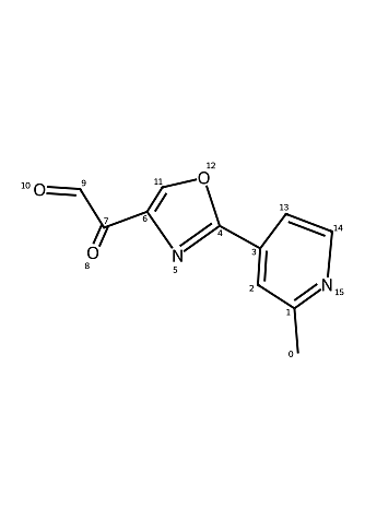 Cc1cc(-c2nc(C(=O)C=O)co2)ccn1